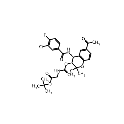 CC(=O)c1ccc2c(c1)[C@H](NC(=O)c1ccc(F)c(Cl)c1)[C@H](OC(=O)NCC(=O)OC(C)(C)C)C(C)(C)O2